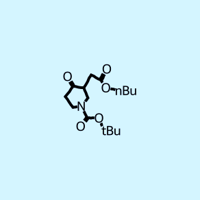 CCCCOC(=O)CC1CN(C(=O)OC(C)(C)C)CCC1=O